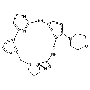 O=C1NCc2cc(ccc2N2CCOCC2)Nc2nccc(n2)-c2cccc(c2)CN2CCC[C@@H]12